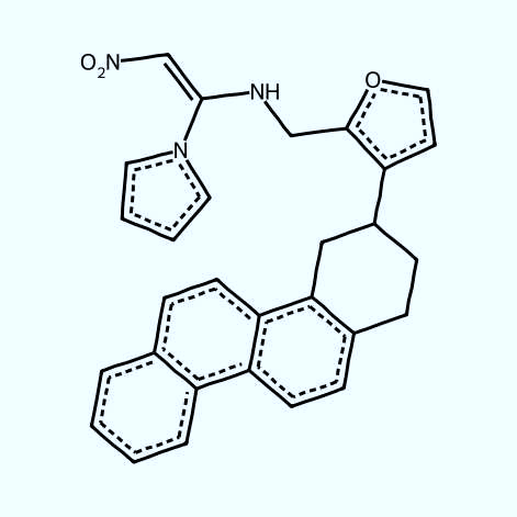 O=[N+]([O-])C=C(NCc1occc1C1CCc2ccc3c(ccc4ccccc43)c2C1)n1cccc1